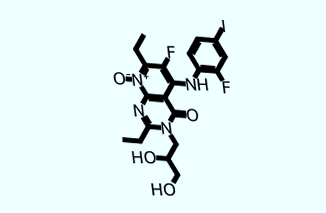 CCc1nc2c(c(Nc3ccc(I)cc3F)c(F)c(CC)[n+]2[O-])c(=O)n1CC(O)CO